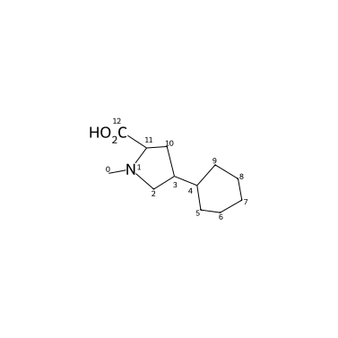 CN1CC(C2CCCCC2)CC1C(=O)O